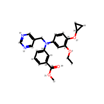 CCOc1cc(N(Cc2cncnc2)c2cccc(C(=O)OC)c2)ccc1OC1CC1